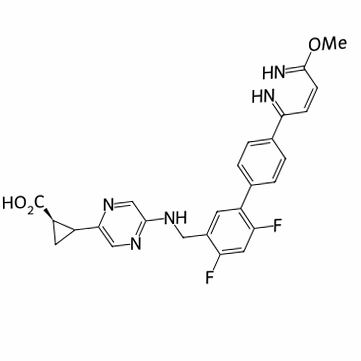 COC(=N)/C=C\C(=N)c1ccc(-c2cc(CNc3cnc(C4C[C@H]4C(=O)O)cn3)c(F)cc2F)cc1